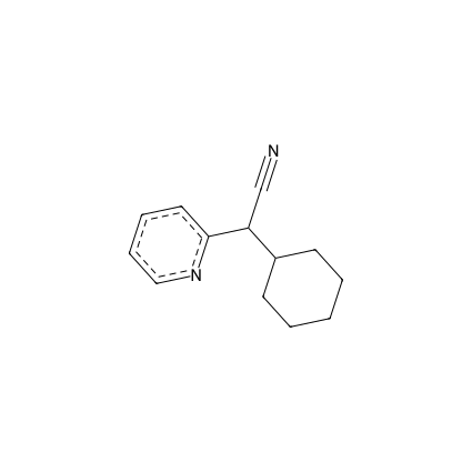 N#CC(c1ccccn1)C1CCCCC1